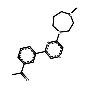 CC(=O)c1cccc(-c2cncc(N3CCCN(C)CC3)n2)c1